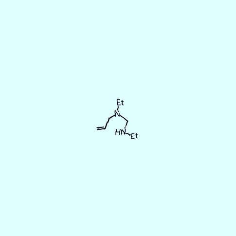 C=CCN(CC)CNCC